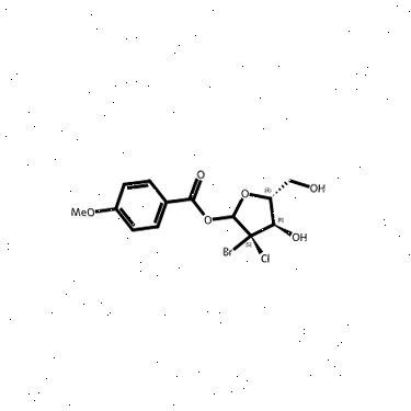 COc1ccc(C(=O)OC2O[C@H](CO)[C@@H](O)[C@]2(Cl)Br)cc1